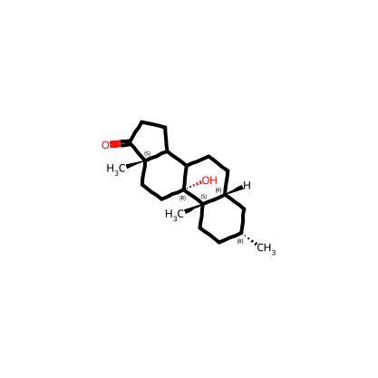 C[C@@H]1CC[C@@]2(C)[C@H](CCC3C4CCC(=O)[C@@]4(C)CC[C@@]32O)C1